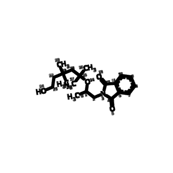 CC(CN1C(=O)c2ccccc2C1=O)OC(C)(C)CC(C)(C)CCO